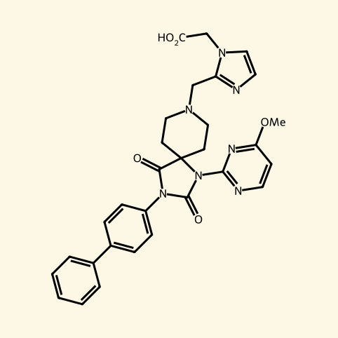 COc1ccnc(N2C(=O)N(c3ccc(-c4ccccc4)cc3)C(=O)C23CCN(Cc2nccn2CC(=O)O)CC3)n1